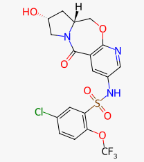 O=C1c2cc(NS(=O)(=O)c3cc(Cl)ccc3OC(F)(F)F)cnc2OC[C@H]2C[C@@H](O)CN12